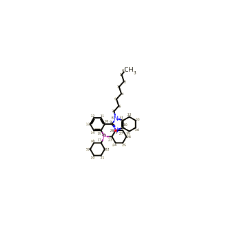 CCCCCCCCn1c(-c2ccccc2P(C2CCCCC2)C2CCCCC2)nc2c1CCCC2